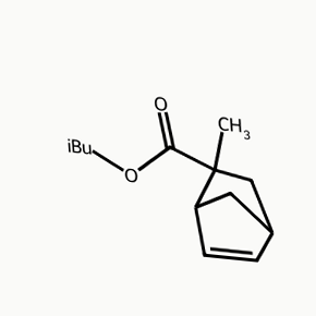 CCC(C)OC(=O)C1(C)CC2C=CC1C2